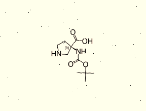 CC(C)(C)OC(=O)N[C@]1(C(=O)O)CCNC1